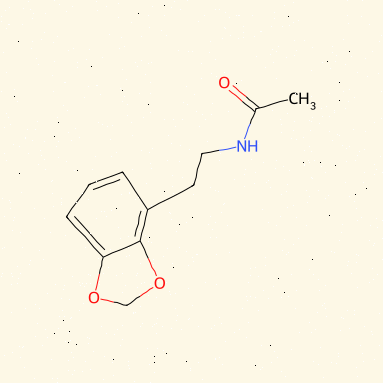 CC(=O)NCCc1cccc2c1OCO2